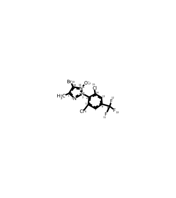 Cc1nn(-c2c(Cl)cc(C(F)(F)F)cc2Cl)[n+]([O-])c1Br